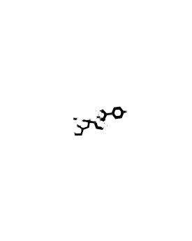 CC1OC(C(C)(CC2CCOC2)c2ccnc3c(-c4ccc(Cl)cc4)cnn23)O1